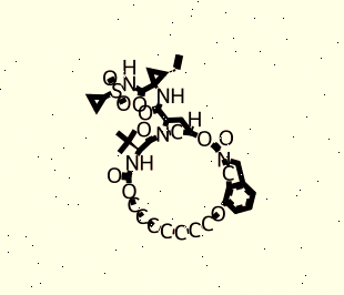 C=C[C@H]1C[C@@]1(NC(=O)C1C[C@@H]2CN1C(=O)[C@H](C(C)(C)C)NC(=O)OCCCCCCCOc1cccc3c1CN(C3)C(=O)O2)C(=O)NS(=O)(=O)C1CC1